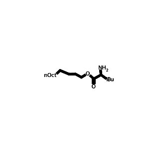 CCCCCCCCCCCCOC(=O)C(N)C(C)CC